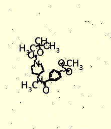 CN(C(=O)c1ccc(S(C)(=O)=O)cc1)C1CCN(C(=O)OC(C)(C)C)CC1